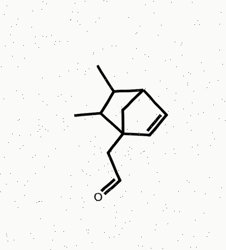 CC1C2C=CC(CC=O)(C2)C1C